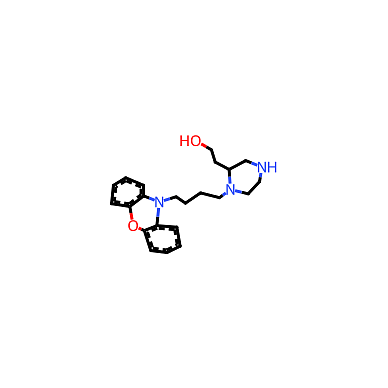 OCCC1CNCCN1CCCCN1c2ccccc2Oc2ccccc21